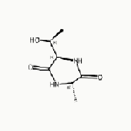 C[C@@H]1NC(=O)[C@@H]([C@H](C)O)NC1=O